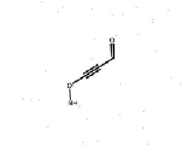 NOC#CC=O